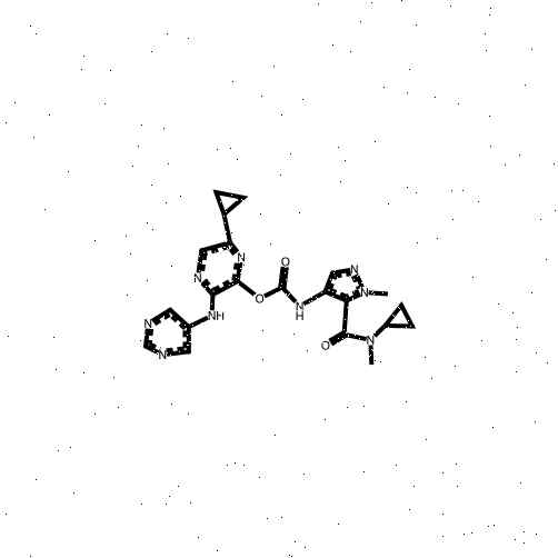 CN(C(=O)c1c(NC(=O)Oc2nc(C3CC3)cnc2Nc2cncnc2)cnn1C)C1CC1